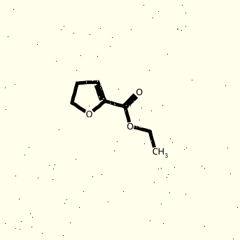 CCOC(=O)C1=CCCO1